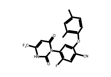 Cc1ccc(Oc2cc(-n3c(=O)cc(C(F)(F)F)[nH]c3=O)c(F)cc2C#N)c(C)c1